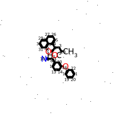 CC(C)CC(C(=O)OC(C#N)c1cccc(Oc2ccccc2)c1)c1cccc2ccccc12